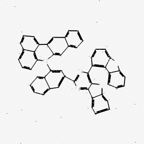 c1ccc2cc3c(cc2c1)-c1cccc2cccc(c12)N3c1cc(-c2nc(-c3cccc4sc5ccccc5c34)c3oc4ccccc4c3n2)cc2ccccc12